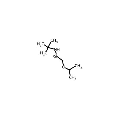 CC(C)OC[Si]NC(C)(C)C